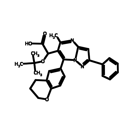 Cc1nc2cc(-c3ccccc3)nn2c(-c2ccc3c(c2)CCCO3)c1C(OC(C)(C)C)C(=O)O